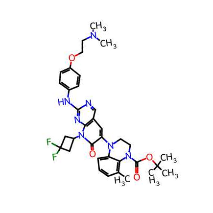 Cc1cccc2c1N(C(=O)OC(C)(C)C)CCN2c1cc2cnc(Nc3ccc(OCCN(C)C)cc3)nc2n(C2CC(F)(F)C2)c1=O